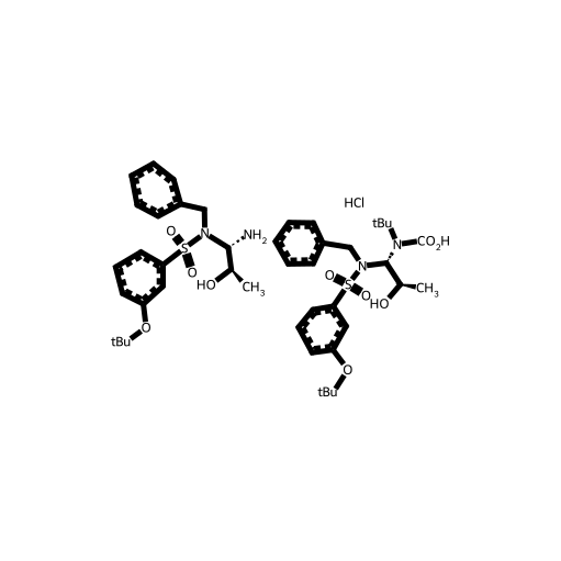 C[C@@H](O)[C@@H](N(C(=O)O)C(C)(C)C)N(Cc1ccccc1)S(=O)(=O)c1cccc(OC(C)(C)C)c1.C[C@@H](O)[C@@H](N)N(Cc1ccccc1)S(=O)(=O)c1cccc(OC(C)(C)C)c1.Cl